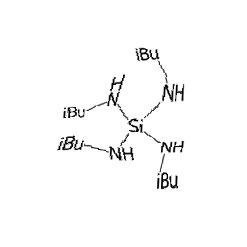 CCC(C)N[Si](NC(C)CC)(NC(C)CC)NC(C)CC